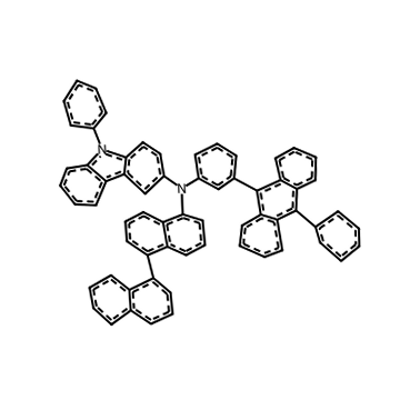 c1ccc(-c2c3ccccc3c(-c3cccc(N(c4ccc5c(c4)c4ccccc4n5-c4ccccc4)c4cccc5c(-c6cccc7ccccc67)cccc45)c3)c3ccccc23)cc1